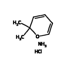 CC1(C)C=CC=CO1.Cl.N